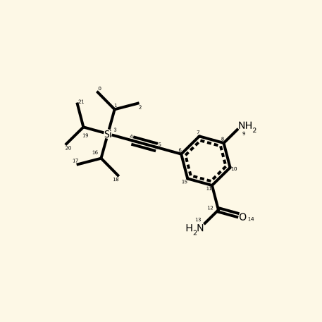 CC(C)[Si](C#Cc1cc(N)cc(C(N)=O)c1)(C(C)C)C(C)C